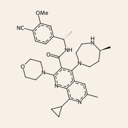 COc1cc([C@H](C)NC(=O)c2c(N3CCOCC3)nc3c(C4CC4)nc(C)cc3c2N2CCN[C@@H](C)CC2)ccc1C#N